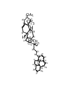 CC(=O)O[C@H]1CC[C@@]2(C)C(=CC[C@H]3[C@@H]4CC[C@H](C(=O)CCCc5ccc6ccc7cccc8ccc5c6c78)[C@@]4(C)CC[C@@H]32)C1